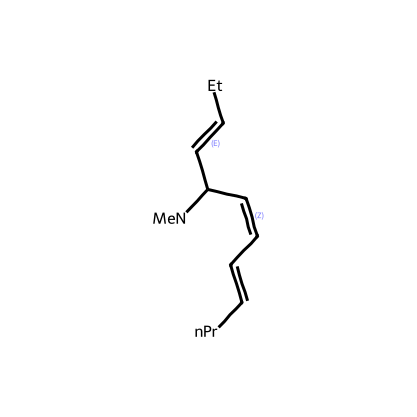 CC/C=C/C(/C=C\C=CCCC)NC